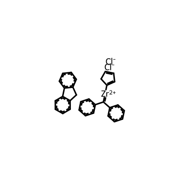 C1=CC[C]([Zr+2]=[C](c2ccccc2)c2ccccc2)=C1.[Cl-].[Cl-].c1ccc2c(c1)Cc1ccccc1-2